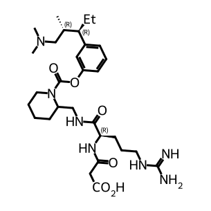 CC[C@@H](c1cccc(OC(=O)N2CCCCC2CNC(=O)[C@@H](CCCNC(=N)N)NC(=O)CC(=O)O)c1)[C@@H](C)CN(C)C